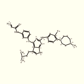 C=CC(=O)Nc1cccc(Oc2nc(Nc3ccc(N4CCCN(C)CC4)c(F)c3)nc3[nH]cc(CCN(C)C)c23)c1